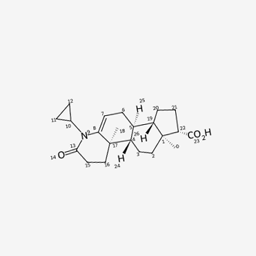 C[C@]12CC[C@H]3[C@@H](CC=C4N(C5CC5)C(=O)CC[C@@]43C)[C@@H]1CC[C@@H]2C(=O)O